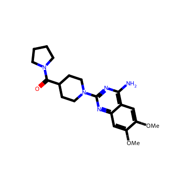 COc1cc2nc(N3CCC(C(=O)N4CCCC4)CC3)nc(N)c2cc1OC